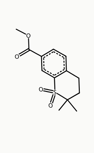 COC(=O)c1ccc2c(c1)S(=O)(=O)C(C)(C)CC2